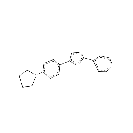 Br.c1cc(-c2nc(-c3ccc(N4CCCC4)cc3)co2)ccn1